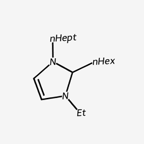 CCCCCCCN1C=CN(CC)C1CCCCCC